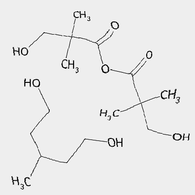 CC(C)(CO)C(=O)OC(=O)C(C)(C)CO.CC(CCO)CCO